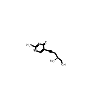 Nc1nc(=O)c(C#CC[C@H](O)CO)c[nH]1